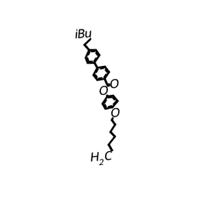 C=CCCCCCOc1ccc(OC(=O)c2ccc(-c3ccc(CC[C@@H](C)CC)cc3)cc2)cc1